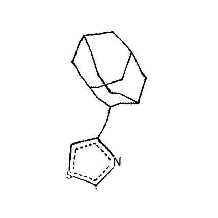 [c]1nc(C2C3CC4CC(C3)CC2C4)cs1